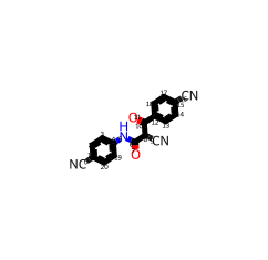 N#Cc1ccc(NC(=O)C(C#N)C(=O)c2ccc(C#N)cc2)cc1